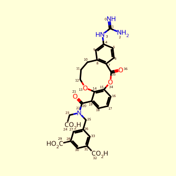 N=C(N)Nc1ccc2c(c1)CCCOc1c(cccc1C(=O)N(CC(=O)O)Cc1cc(C(=O)O)cc(C(=O)O)c1)OC2=O